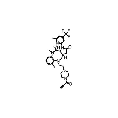 C#CC(=O)N1CCN(CCN2C[C@H]3CC(=O)N(c4cc(C(F)(F)F)cc(C)n4)[C@@H]3C(=O)N(C)c3cccc(C)c32)CC1